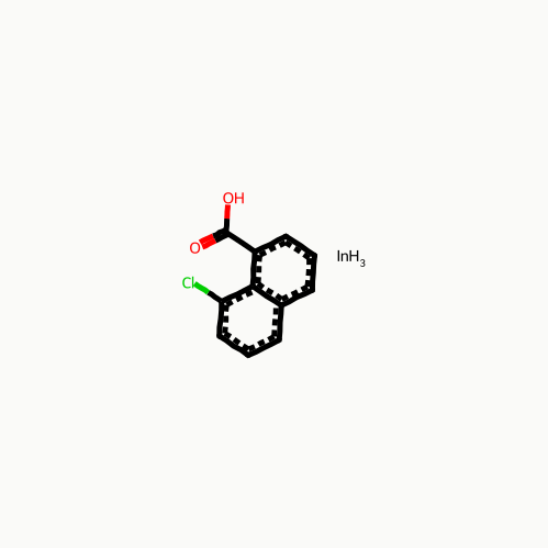 O=C(O)c1cccc2cccc(Cl)c12.[InH3]